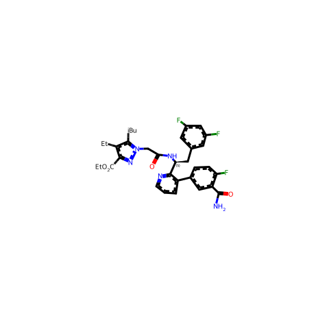 CCOC(=O)c1nn(CC(=O)N[C@@H](Cc2cc(F)cc(F)c2)c2ncccc2-c2ccc(F)c(C(N)=O)c2)c(C(C)CC)c1CC